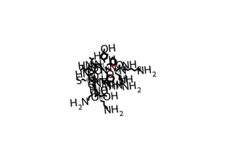 CSCC[C@@H](NC(=O)[C@@H](Cc1c[nH]c2ccccc12)NC(=O)[C@@H](CCCCN)NC(=O)[C@@H](CCCCN)C(=O)O)C(=O)N[C@@H](C(=O)N[C@@H](C(=O)N[C@H](Cc1ccc(O)cc1)C(=O)N[C@H](Cc1ccccc1)C(=O)N[C@H](CCCNC(=N)N)C(=O)N[C@@H](N)CCCCN)C(C)C)C(C)C